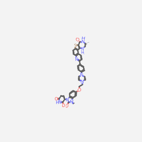 C[C@@H]1CNc2c(sc3ccc4nc(-c5ccc(N6CCN(CCOc7ccc8c(c7)n(C)c(=O)n8C7CCC(=O)NC7=O)CC6)cc5)ccc4c23)C(=O)N1